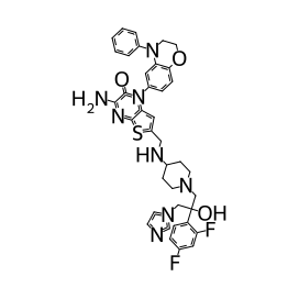 Nc1nc2sc(CNC3CCN(CC(O)(Cn4ccnc4)c4ccc(F)cc4F)CC3)cc2n(-c2ccc3c(c2)N(c2ccccc2)CCO3)c1=O